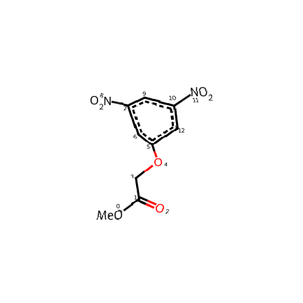 COC(=O)COc1cc([N+](=O)[O-])cc([N+](=O)[O-])c1